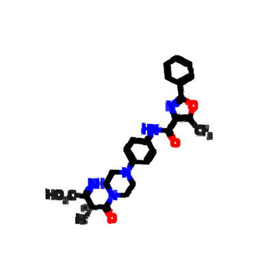 CC[C@H](C(=N)C(=O)O)C(=O)N1CCN(c2ccc(NC(=O)c3nc(-c4ccccc4)oc3C(F)(F)F)cc2)CC1